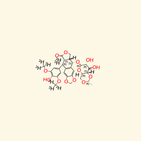 [2H]C([2H])([2H])Oc1cc([C@]2([2H])c3cc4c(cc3[C@@H](O[C@@H]3O[C@@H]5CO[C@@H](C)O[C@H]5[C@H](O)[C@H]3O)[C@H]3COC(=O)[C@@]32[2H])OCO4)cc(OC([2H])([2H])[2H])c1O